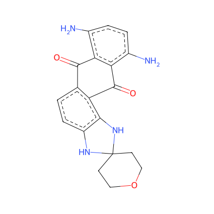 Nc1ccc(N)c2c1C(=O)c1ccc3c(c1C2=O)NC1(CCOCC1)N3